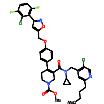 COCCCc1cc(CN(C(=O)C2=C(c3ccc(OCc4cc(-c5c(F)ccc(F)c5Cl)no4)cc3)CCN(C(=O)OC(C)(C)C)C2)C2CC2)c(Cl)cn1